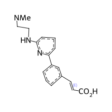 CNCCNc1cccc(-c2cccc(/C=C/C(=O)O)c2)n1